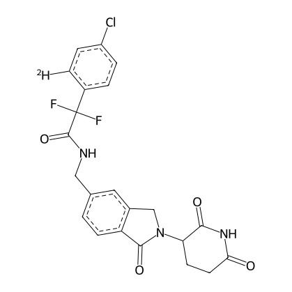 [2H]c1cc(Cl)ccc1C(F)(F)C(=O)NCc1ccc2c(c1)CN(C1CCC(=O)NC1=O)C2=O